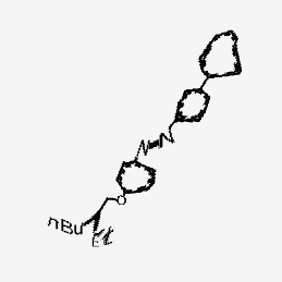 CCCCC(CC)COc1ccc(/N=N/c2ccc(-c3ccccc3)cc2)cc1